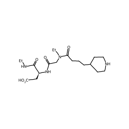 CCNC(=O)[C@H](CC(=O)O)NC(=O)CN(CC)C(=O)CCCC1CCNCC1